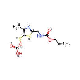 C=CCOC(=O)NCc1nc(C)c(SOC(=O)O)s1